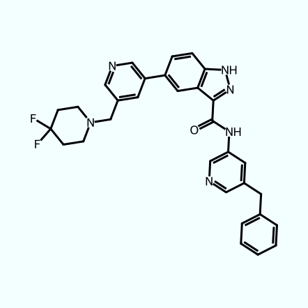 O=C(Nc1cncc(Cc2ccccc2)c1)c1n[nH]c2ccc(-c3cncc(CN4CCC(F)(F)CC4)c3)cc12